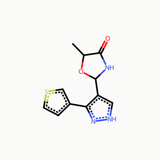 CC1OC(c2c[nH]nc2-c2ccsc2)NC1=O